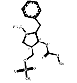 CC(C)(C)OC(=O)N[C@@H]1C(Cc2ccccc2)N(C(=O)O)C[C@@H]1COS(C)(=O)=O